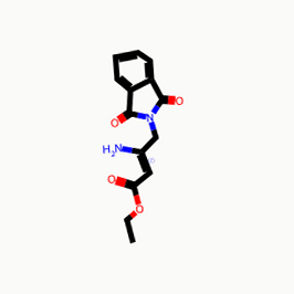 CCOC(=O)/C=C(\N)CN1C(=O)c2ccccc2C1=O